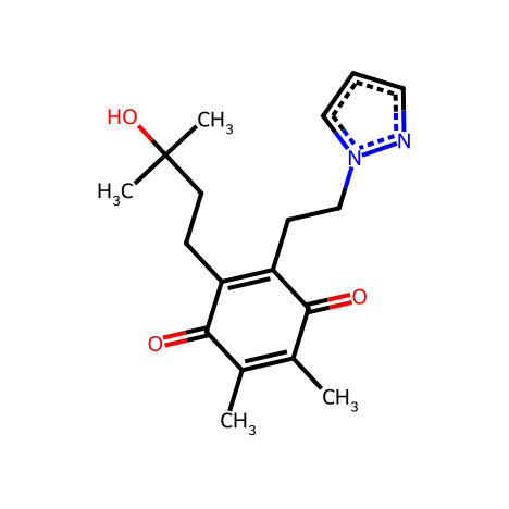 CC1=C(C)C(=O)C(CCC(C)(C)O)=C(CCn2cccn2)C1=O